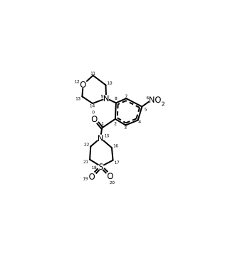 O=C(c1ccc([N+](=O)[O-])cc1N1CCOCC1)N1CCS(=O)(=O)CC1